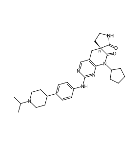 CC(C)N1CCC(c2ccc(Nc3ncc4c(n3)N(C3CCCC3)C(=O)[C@]3(CCNC3=O)C4)cc2)CC1